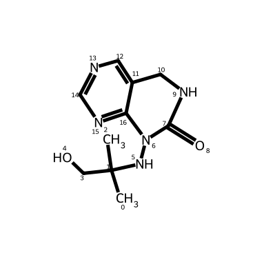 CC(C)(CO)NN1C(=O)NCc2cncnc21